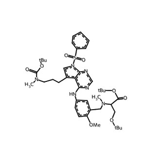 COc1ccc(Nc2ncnc3c2c(CCCN(C)C(=O)OC(C)(C)C)cn3S(=O)(=O)c2ccccc2)cc1CN(C)C(COC(C)(C)C)C(=O)OC(C)(C)C